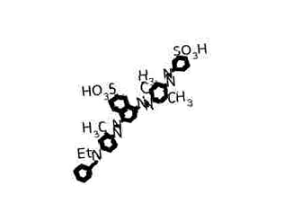 CCN(Cc1ccccc1)c1ccc(/N=N/c2ccc(/N=N/c3cc(C)c(/N=N/c4cccc(S(=O)(=O)O)c4)cc3C)c3cc(S(=O)(=O)O)ccc23)c(C)c1